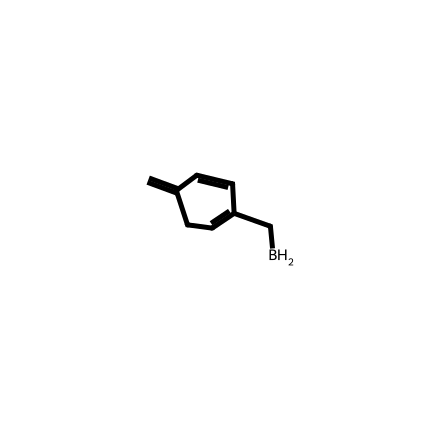 BCC1=CCC(=C)C=C1